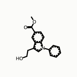 COC(=O)c1ccc2c(c1)c(CCO)cn2-c1ccccc1